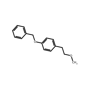 COCCc1ccc(OCc2ccccc2)cc1